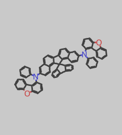 c1ccc(N(c2ccc3c4c(ccc3c2)-c2ccc3cc(N(c5ccccc5)c5cccc6oc7ccccc7c56)ccc3c2C42c3ccccc3-c3ccccc32)c2cccc3oc4ccccc4c23)cc1